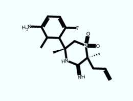 C=CC[C@@]1(C)C(=N)N[C@](C)(C2C(F)=CC=C(N)C2C)CS1(=O)=O